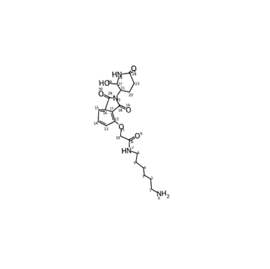 NCCCCCCNC(=O)COc1cccc2c1C(=O)N(C1CCC(=O)NC1O)C2=O